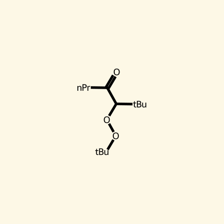 CCCC(=O)C(OOC(C)(C)C)C(C)(C)C